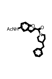 CC(=O)Nc1ccc2oc(C(=O)N3CCC(Cc4ccccc4)CC3)cc2c1